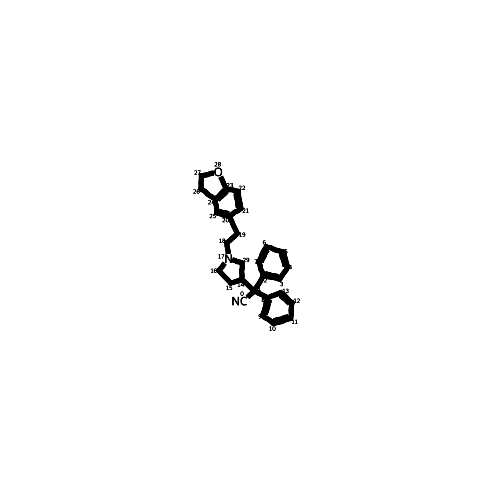 N#CC(c1ccccc1)(c1ccccc1)C1CCN(CCc2ccc3c(c2)CCO3)C1